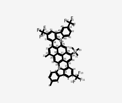 Cc1ccc2c(c1)-c1cc(C(F)(F)F)cc3c1B2c1cc2c(C)cc4c5c(cc6c([Si](C)(C)C)cc-3c1c6c25)B1c2ccc(C(F)(F)F)cc2-c2cc(C(F)(F)F)cc-4c21